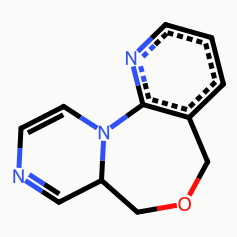 C1=CN2c3ncccc3COCC2C=N1